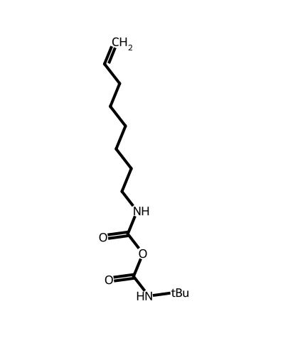 C=CCCCCCCNC(=O)OC(=O)NC(C)(C)C